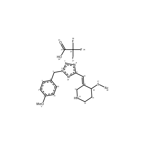 COc1ccc(Cn2nnc(C=C3CNCCC3SC(C)=O)n2)cc1.O=C(O)C(F)(F)F